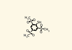 CS(=O)(=O)c1cc(S(C)(=O)=O)c(S)c(S(C)(=O)=O)c1